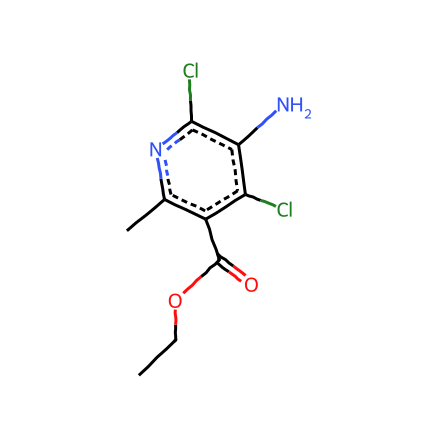 CCOC(=O)c1c(C)nc(Cl)c(N)c1Cl